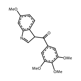 COc1ccc2c(c1)N=CC2C(=O)c1cc(OC)c(OC)c(OC)c1